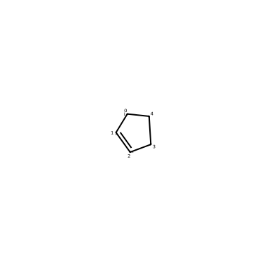 [C]1[C]=[C]CC1